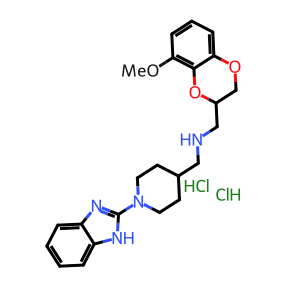 COc1cccc2c1OC(CNCC1CCN(c3nc4ccccc4[nH]3)CC1)CO2.Cl.Cl